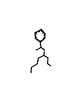 CCCCC(CCC)CC(C)c1ccccc1